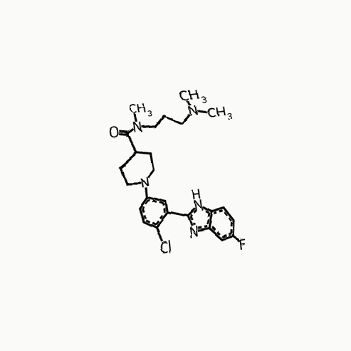 CN(C)CCCN(C)C(=O)C1CCN(c2ccc(Cl)c(-c3nc4cc(F)ccc4[nH]3)c2)CC1